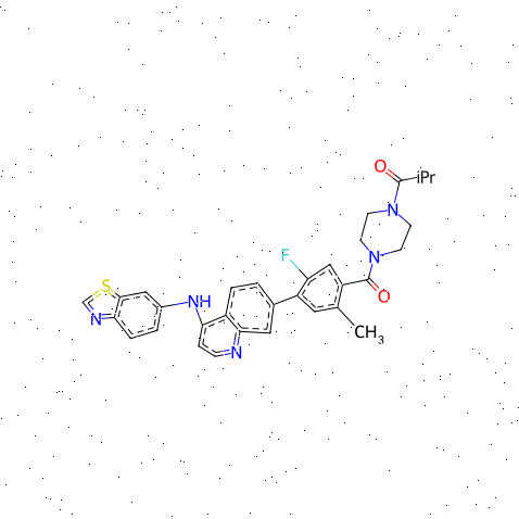 Cc1cc(-c2ccc3c(Nc4ccc5ncsc5c4)ccnc3c2)c(F)cc1C(=O)N1CCN(C(=O)C(C)C)CC1